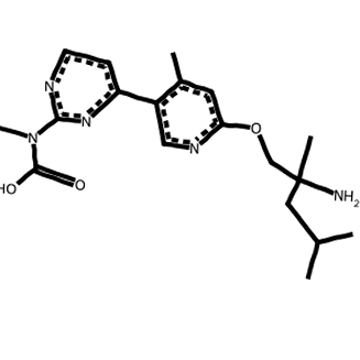 Cc1cc(OCC(C)(N)CC(C)C)ncc1-c1ccnc(N(C)C(=O)O)n1